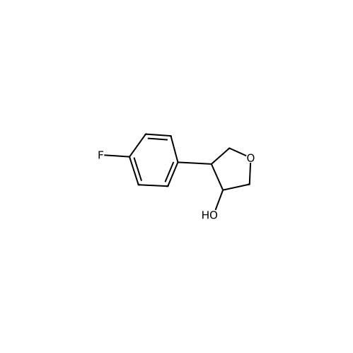 OC1COCC1c1ccc(F)cc1